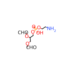 NCCOP(=O)(O)OCC(COC=O)OC=O